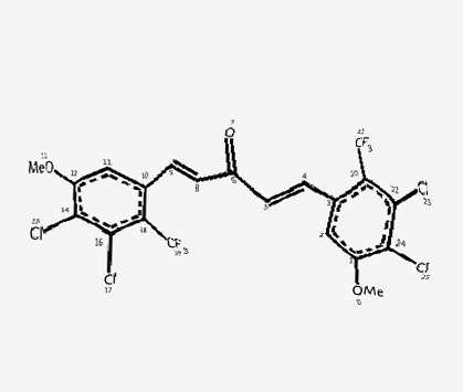 COc1cc(/C=C/C(=O)/C=C/c2cc(OC)c(Cl)c(Cl)c2C(F)(F)F)c(C(F)(F)F)c(Cl)c1Cl